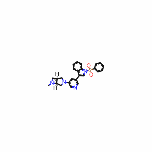 CN1C[C@H]2CN(c3cncc(-c4cn(S(=O)(=O)c5ccccc5)c5ccccc45)c3)C[C@H]21